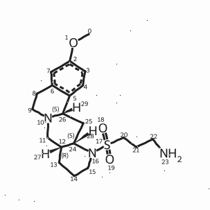 COc1ccc2c(c1)CCN1C[C@H]3CCCN(S(=O)(=O)CCCN)[C@H]3C[C@@H]21